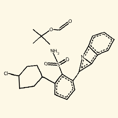 CC(C)(C)OC=O.NS(=O)(=O)c1c(-c2c3c4ccccc4n2-3)cccc1C1CCC(Cl)CC1